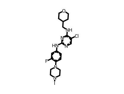 Fc1cc(Nc2ncc(Cl)c(NCC3CCOCC3)n2)ccc1N1CCN(I)CC1